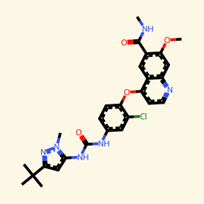 CNC(=O)c1cc2c(Oc3ccc(NC(=O)Nc4cc(C(C)(C)C)nn4C)cc3Cl)ccnc2cc1OC